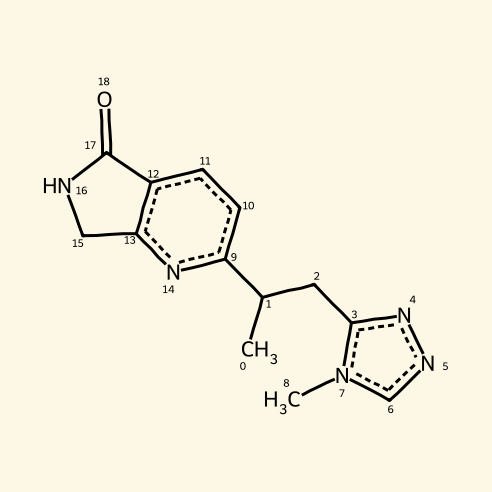 CC(Cc1nncn1C)c1ccc2c(n1)CNC2=O